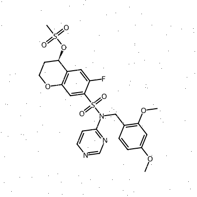 COc1ccc(CN(c2ccncn2)S(=O)(=O)c2cc3c(cc2F)[C@H](OS(C)(=O)=O)CCO3)c(OC)c1